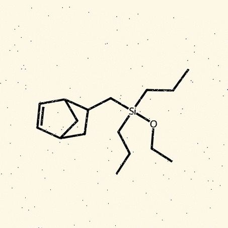 CCC[Si](CCC)(CC1CC2C=CC1C2)OCC